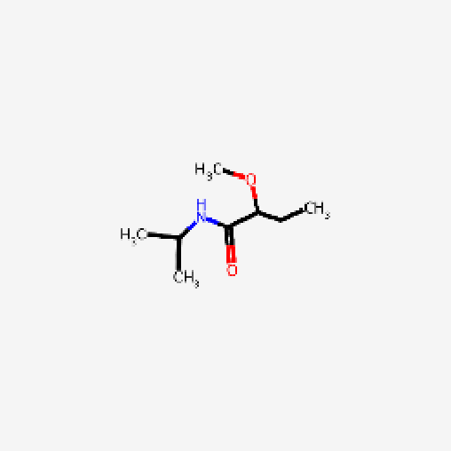 CCC(OC)C(=O)NC(C)C